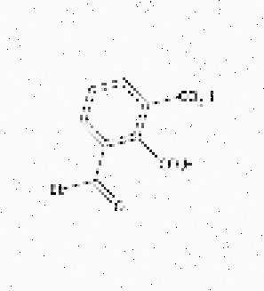 CCC(=O)c1cccc(C(=O)O)c1C(=O)O